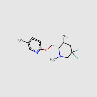 C[C@@H]1CC(F)(F)CN(C)[C@@H]1COc1ccc(C(F)(F)F)cn1